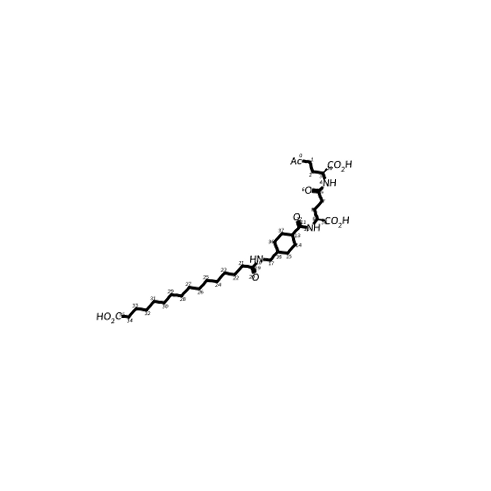 CC(=O)CC[C@H](NC(=O)CC[C@H](NC(=O)C1CCC(CNC(=O)CCCCCCCCCCCCCCC(=O)O)CC1)C(=O)O)C(=O)O